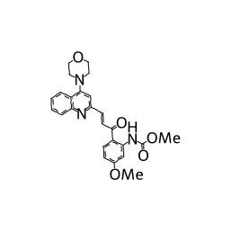 COC(=O)Nc1cc(OC)ccc1C(=O)C=Cc1cc(N2CCOCC2)c2ccccc2n1